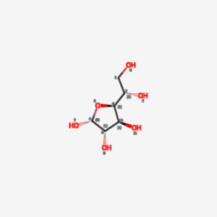 OC[C@H](O)[C@@H]1O[C@@H](O)[C@@H](O)[C@@H]1O